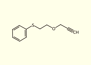 C#CCOCCSc1ccccc1